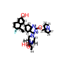 C#Cc1c(F)ccc2cc(O)cc([C@H]3CCc4c(nc(OCC56CCCN5CCC6)nc4N4C[C@@H]5C[C@H](O)[C@H](C4)N5C(=O)C=C)C3)c12